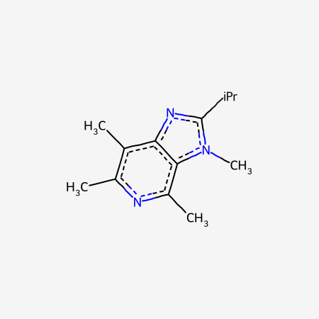 Cc1nc(C)c2c(nc(C(C)C)n2C)c1C